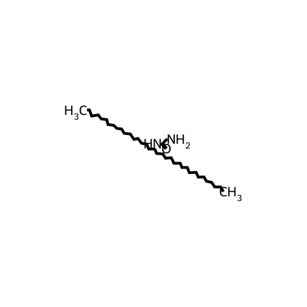 CCCCCCCCCCCCCCCCCC(CCCCCCCCCCCCCCCCC)NC(=O)CN